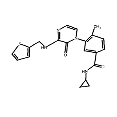 Cc1ccc(C(=O)NC2CC2)cc1-n1ccnc(NCc2cccs2)c1=O